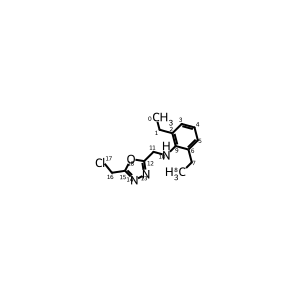 CCc1cccc(CC)c1NCc1nnc(CCl)o1